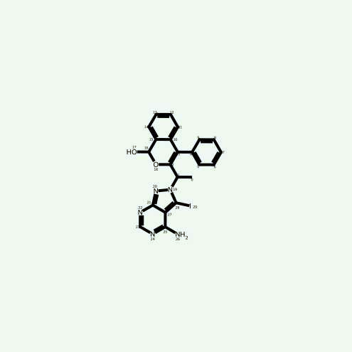 CC(C1=C(c2ccccc2)c2ccccc2C(O)O1)n1nc2ncnc(N)c2c1I